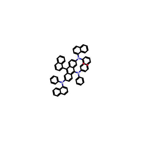 c1ccc(N(c2ccc3c(N(c4ccccc4)c4ccccc4)c4cc(N(c5ccccc5)c5cccc6ccccc56)ccc4c(-c4cccc5ccccc45)c3c2)c2cccc3ccccc23)cc1